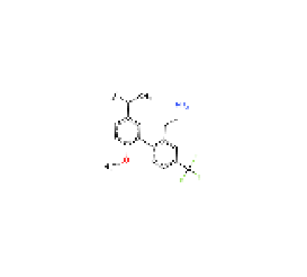 COc1ccc(C(C)C)cc1-c1ccc(C(F)(F)F)cc1[CH][CH]N